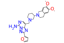 COc1cc2c(cc1OC)CN(C1CCCN(Cc3cnc(N)n4nc(-c5ccco5)nc34)C1)CC2